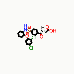 O=C(O)C[AsH]C(=O)c1ccc(S(=O)(=O)Nc2ccccc2Oc2ccc(Cl)cc2Cl)cc1